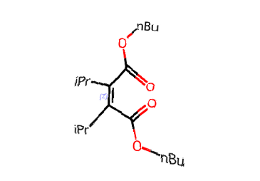 CCCCOC(=O)/C(=C(\C(=O)OCCCC)C(C)C)C(C)C